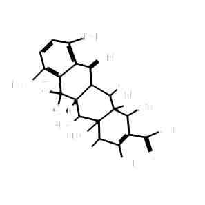 C=C1c2c(P)ccc(C)c2C(C)(C)C2(C)C1C(C)C1(C)C(P)C(C(C)=S)=C(C)C(C)C1(C)C2C